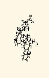 Cc1cc(Oc2ccccc2)ccc1N1C(=O)Nc2c(C(=O)NC3CCN(C4CC4)C3)sc3nccc1c23